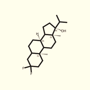 CC(C)[C@]1(O)CCC2[C@@H]3CCC4CC(F)(F)CC[C@]4(C)C3CC[C@@]21C